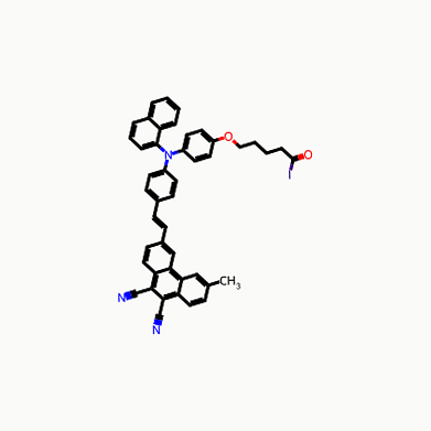 Cc1ccc2c(C#N)c(C#N)c3ccc(/C=C/c4ccc(N(c5ccc(OCCCCC(=O)I)cc5)c5cccc6ccccc56)cc4)cc3c2c1